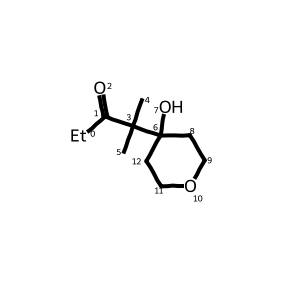 CCC(=O)C(C)(C)C1(O)CCOCC1